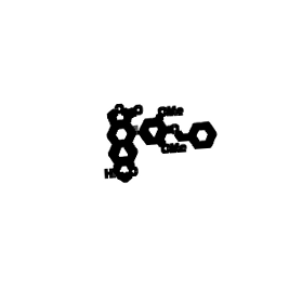 COc1cc([C@H]2C3=C(COC3=O)Cc3cc4c(cc32)OCN4)cc(OC)c1OCC1CCCCC1